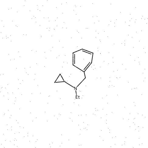 CCN(Cc1ccccc1)[C]1CC1